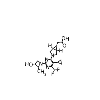 C[C@H]1[C@H](O)CN1c1nc(C(F)F)c(C2CC2)c(N2C[C@@H]3[C@@H](CC(=O)O)[C@@H]3C2)n1